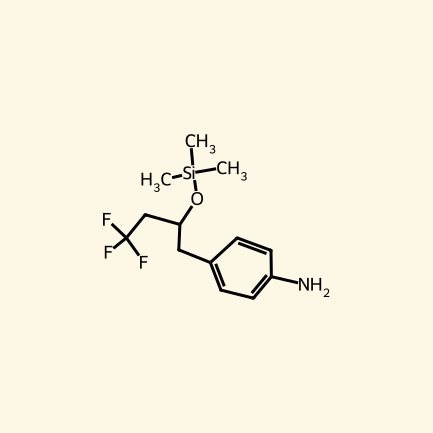 C[Si](C)(C)OC(Cc1ccc(N)cc1)CC(F)(F)F